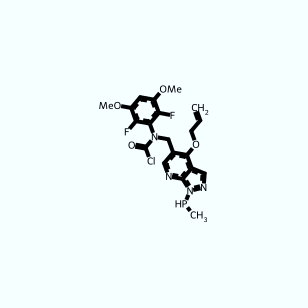 C=CCOc1c(CN(C(=O)Cl)c2c(F)c(OC)cc(OC)c2F)cnc2c1cnn2PC